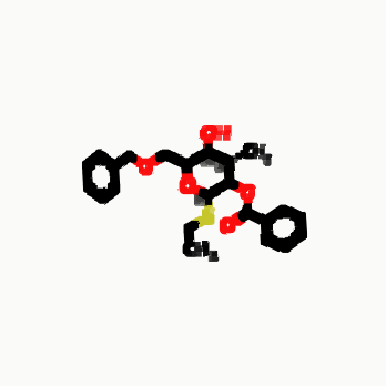 CCS[C@@H]1OC(COCc2ccccc2)[C@@H](O)[C@H](C)C1OC(=O)c1ccccc1